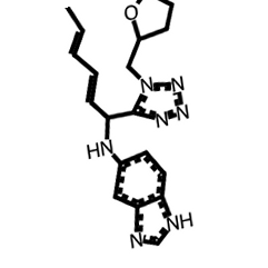 CC=CC=CC(Nc1ccc2[nH]cnc2c1)c1nnnn1CC1CCCO1